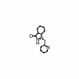 O=c1[nH]n(Cc2ccccn2)c2ccccc12